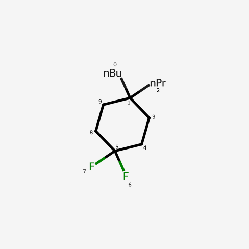 CCCCC1(CCC)CCC(F)(F)CC1